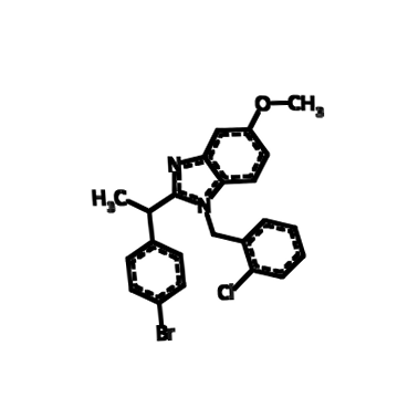 COc1ccc2c(c1)nc(C(C)c1ccc(Br)cc1)n2Cc1ccccc1Cl